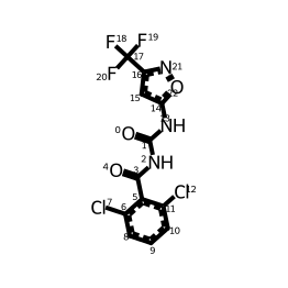 O=C(NC(=O)c1c(Cl)cccc1Cl)Nc1cc(C(F)(F)F)no1